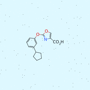 O=C(O)c1coc(Oc2cccc(C3CCCC3)c2)n1